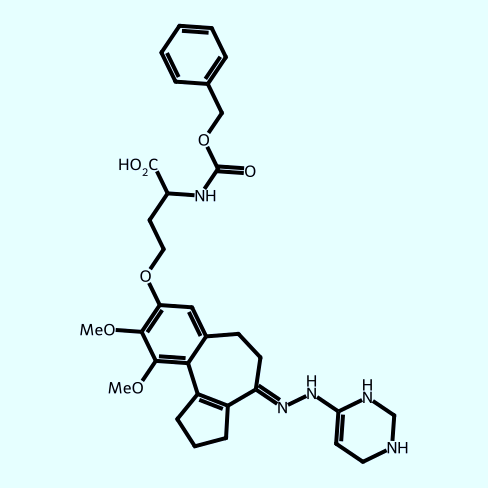 COc1c(OCCC(NC(=O)OCc2ccccc2)C(=O)O)cc2c(c1OC)C1=C(CCC1)C(=NNC1=CCNCN1)CC2